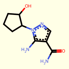 NC(=O)c1cnn(C2CCCC2O)c1N